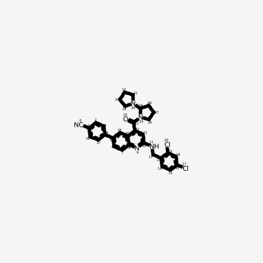 N#Cc1ccc(-c2ccc3nc(NCc4ccc(Cl)cc4Cl)cc(C(=O)N4CCCC4N4CCCC4)c3c2)cc1